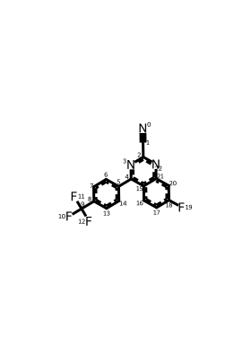 N#Cc1nc(-c2ccc(C(F)(F)F)cc2)c2ccc(F)cc2n1